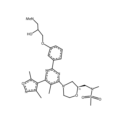 CNCC(O)COc1cccc(-c2nc(-c3c(C)noc3C)c(C)c(N3CCO[C@H](CN(C)S(C)(=O)=O)C3)n2)c1